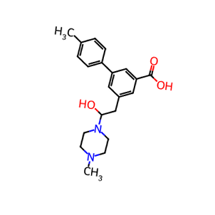 Cc1ccc(-c2cc(CC(O)N3CCN(C)CC3)cc(C(=O)O)c2)cc1